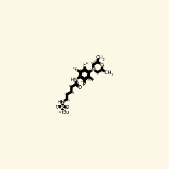 CC1CN(c2c(F)c(F)c(NC(=O)CCCCNS(=O)(=O)C(C)(C)C)c(F)c2F)CC(C)O1